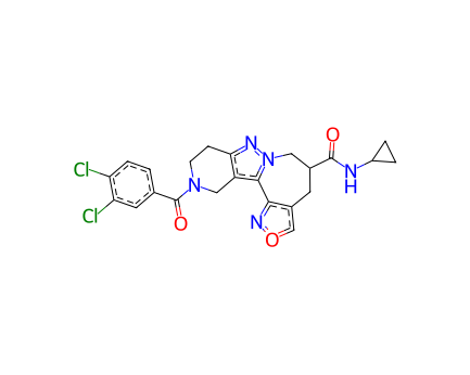 O=C(NC1CC1)C1Cc2conc2-c2c3c(nn2C1)CCN(C(=O)c1ccc(Cl)c(Cl)c1)C3